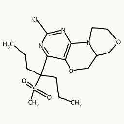 CCCC(CCC)(c1nc(Cl)nc2c1OCC1COCCN21)S(C)(=O)=O